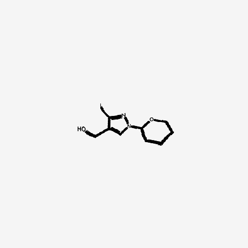 OCc1cn(C2CCCCO2)nc1I